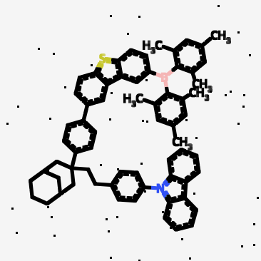 Cc1cc(C)c(B(c2ccc3sc4ccc(-c5ccc(C6(CCc7ccc(-n8c9ccccc9c9ccccc98)cc7)CC7CCCC(C7)C6)cc5)cc4c3c2)c2c(C)cc(C)cc2C)c(C)c1